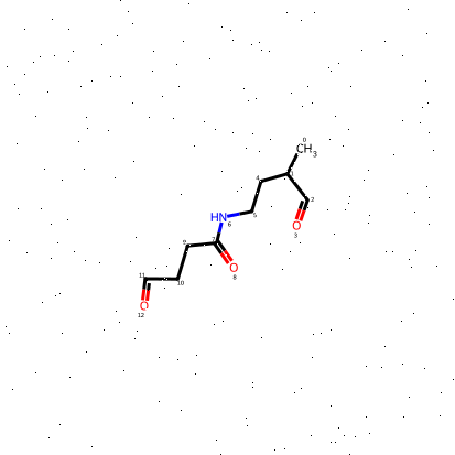 CC(C=O)CCNC(=O)CCC=O